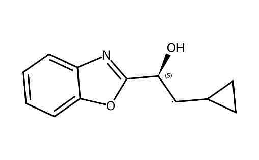 O[C@@H]([CH]C1CC1)c1nc2ccccc2o1